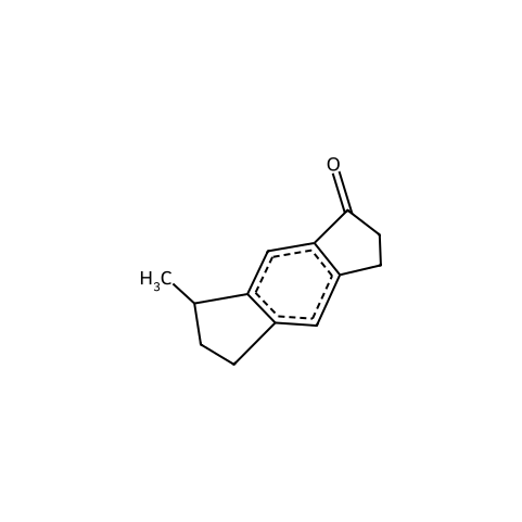 CC1CCc2cc3c(cc21)C(=O)CC3